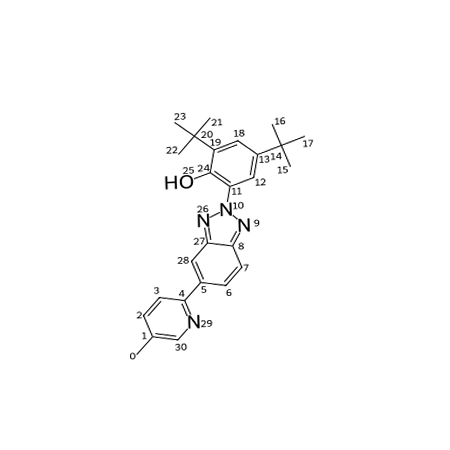 Cc1ccc(-c2ccc3nn(-c4cc(C(C)(C)C)cc(C(C)(C)C)c4O)nc3c2)nc1